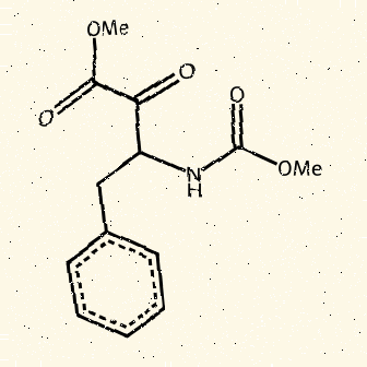 COC(=O)NC(Cc1ccccc1)C(=O)C(=O)OC